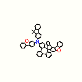 CC1(C)c2ccccc2-c2ccc(N(c3ccc4c(c3)-c3ccccc3-c3ccccc3C43c4ccccc4-c4c3ccc3oc5ccccc5c43)c3ccc4c(c3)oc3ccccc34)cc21